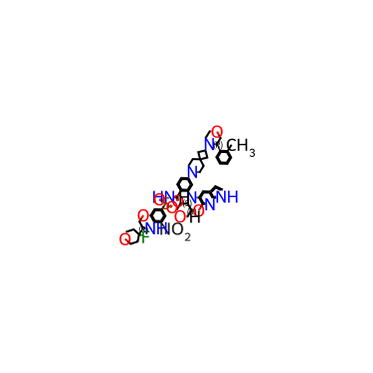 Cc1ccccc1[C@@H]1COCCN1C1CC2(CCN(c3ccc(C(=O)NS(=O)(=O)c4cc5c(c([N+](=O)[O-])c4)N[C@@H](C4(F)CCOCC4)CO5)c(N4c5cc6cc[nH]c6nc5O[C@H]5COCC[C@@H]54)c3)CC2)C1